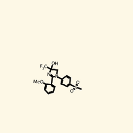 COc1ccccc1C1=NC(O)(C(F)(F)F)CN1c1ccc(S(C)(=O)=O)cc1